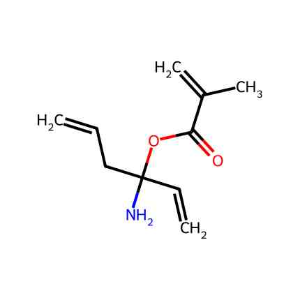 C=CCC(N)(C=C)OC(=O)C(=C)C